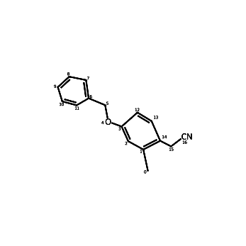 Cc1cc(OCc2ccccc2)ccc1CC#N